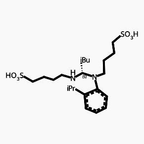 CCC(C)[C@@H](NCCCCS(=O)(=O)O)N(CCCCS(=O)(=O)O)c1ccccc1C(C)C